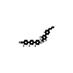 C=CCCc1ccc(-c2cc(F)c(C(F)(F)Oc3ccc(-c4ccc(-c5ccc(C#N)c(F)c5)c(F)c4)c(F)c3)c(F)c2)cc1